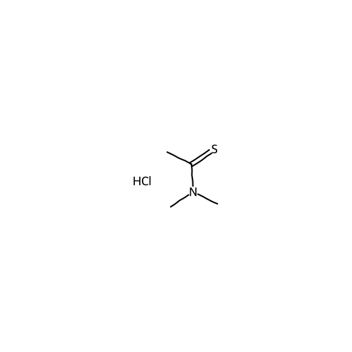 CC(=S)N(C)C.Cl